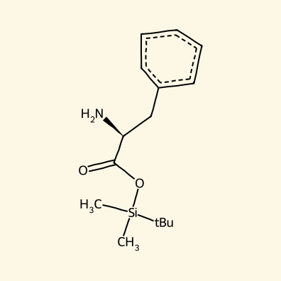 CC(C)(C)[Si](C)(C)OC(=O)[C@@H](N)Cc1ccccc1